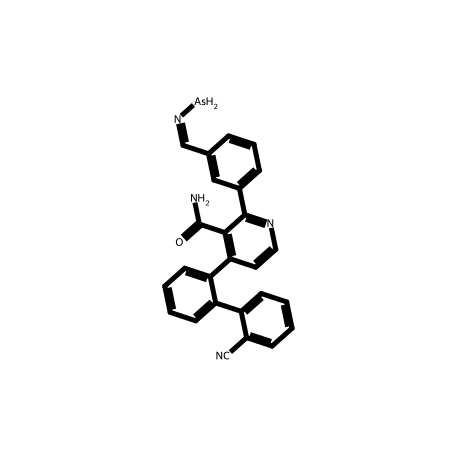 N#Cc1ccccc1-c1ccccc1-c1ccnc(-c2cccc(/C=N\[AsH2])c2)c1C(N)=O